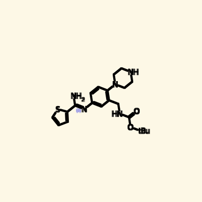 CC(C)(C)OC(=O)NCc1cc(/N=C(\N)c2cccs2)ccc1N1CCNCC1